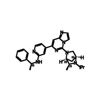 CC(C)N1[C@H]2C[C@@H]([C@@H]1C)N(c1nc(-c3ccnc(N[C@@H](C)c4ccccc4)c3)cc3nccn13)C2